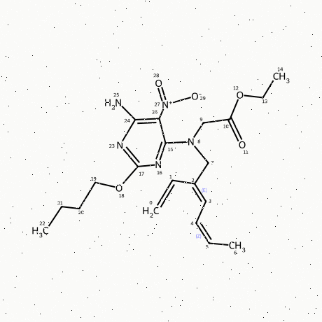 C=C/C(=C\C=C/C)CN(CC(=O)OCC)c1nc(OCCCC)nc(N)c1[N+](=O)[O-]